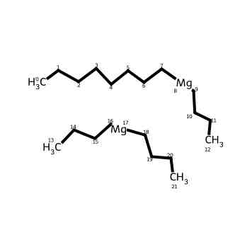 CCCCCCC[CH2][Mg][CH2]CCC.CCC[CH2][Mg][CH2]CCC